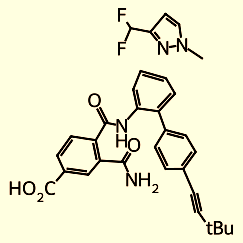 CC(C)(C)C#Cc1ccc(-c2ccccc2NC(=O)c2ccc(C(=O)O)cc2C(N)=O)cc1.Cn1ccc(C(F)F)n1